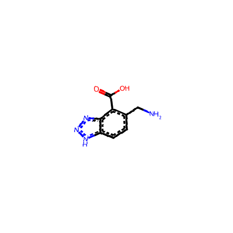 NCc1ccc2[nH]nnc2c1C(=O)O